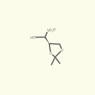 CC1(C)OC[C@H](C(O)S(=O)(=O)O)O1